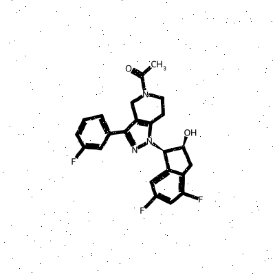 CC(=O)N1CCc2c(c(-c3cccc(F)c3)nn2[C@@H]2c3cc(F)cc(F)c3C[C@@H]2O)C1